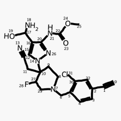 C#Cc1ccc(CN2CCC(CC#N)(n3cc(C(N)O)c(NC(=O)OC)n3)C(F)C2)c(Cl)c1